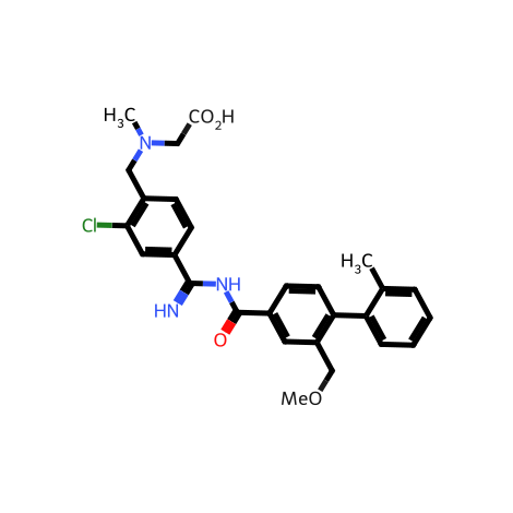 COCc1cc(C(=O)NC(=N)c2ccc(CN(C)CC(=O)O)c(Cl)c2)ccc1-c1ccccc1C